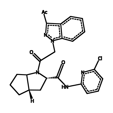 CC(=O)c1nn(CC(=O)N2C3CCC[C@H]3C[C@H]2C(=O)Nc2cccc(Cl)n2)c2ccccc12